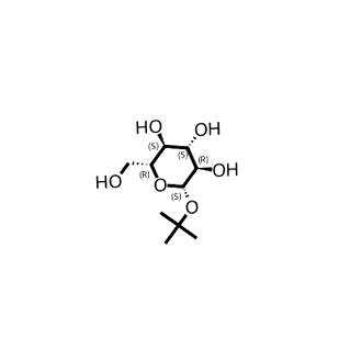 CC(C)(C)O[C@@H]1O[C@H](CO)[C@@H](O)[C@H](O)[C@H]1O